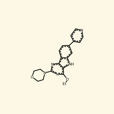 CCOc1nc(N2CCOCC2)nc2c1[nH]c1cc(-c3ccncc3)ccc12